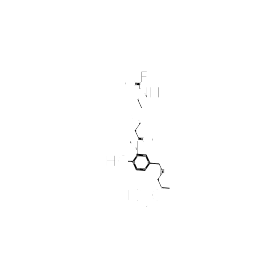 CCC(=O)NCCOCCC(=O)Nc1cc(C[C@H](C)CC(C)C(=O)O)ccc1O